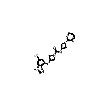 Cc1cc(OC2CN(C(=O)NC3CN(c4ncccn4)C3)C2)c2nc[nH]c2c1